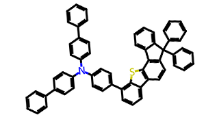 c1ccc(-c2ccc(N(c3ccc(-c4ccccc4)cc3)c3ccc(-c4cccc5c4sc4c6c(ccc45)C(c4ccccc4)(c4ccccc4)c4ccccc4-6)cc3)cc2)cc1